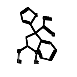 CCOC(CC(C(=O)OC)(c1ccccc1)c1cccs1)OCC